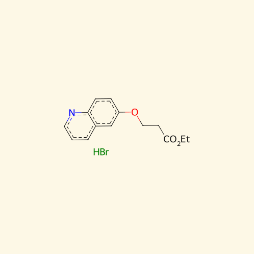 Br.CCOC(=O)CCOc1ccc2ncccc2c1